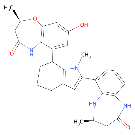 C[C@@H]1CC(=O)Nc2cccc(-c3cc4c(n3C)C(c3cc(O)cc5c3NC(=O)C[C@@H](C)O5)CCC4)c2N1